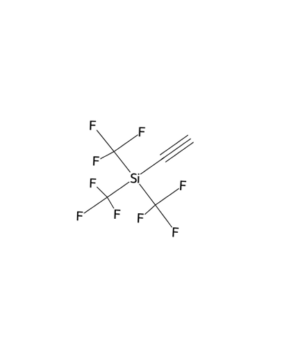 C#C[Si](C(F)(F)F)(C(F)(F)F)C(F)(F)F